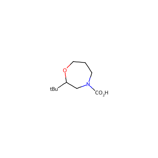 CC(C)(C)C1CN(C(=O)O)CCCO1